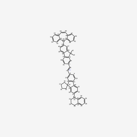 CC1(C)c2cc(/C=C/c3ccc4c(c3)C3(CCCC3)c3cc(N5CCCc6ccccc65)ccc3-4)ccc2-c2ccc(N3c4ccccc4C=Cc4ccccc43)cc21